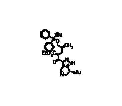 C=C(CO[Si](c1ccccc1)(c1ccccc1)C(C)(C)C)CC(C(=O)OCC)C(=O)c1n[nH]c2c1C=NCC2CCCC